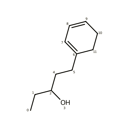 CCC(O)CCC1=CC=CCC1